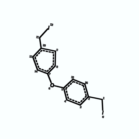 ICc1ccc(Oc2ccc(CI)cc2)cc1